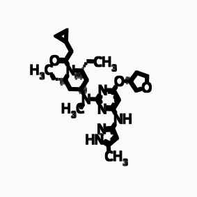 CC[C@@H]1C[C@@H](N(C)c2nc(Nc3cc(C)[nH]n3)cc(O[C@H]3CCOC3)n2)C[C@H](CC)N1C(=O)CC1CC1